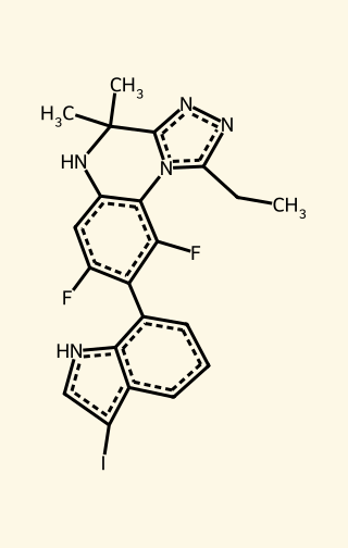 CCc1nnc2n1-c1c(cc(F)c(-c3cccc4c(I)c[nH]c34)c1F)NC2(C)C